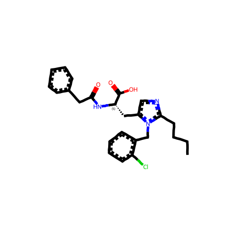 CCCCc1ncc(C[C@H](NC(=O)Cc2ccccc2)C(=O)O)n1Cc1ccccc1Cl